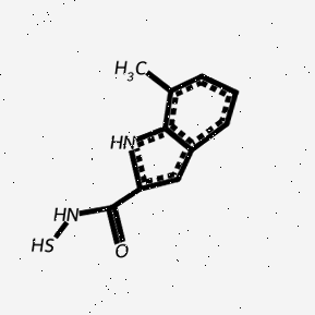 Cc1cccc2cc(C(=O)NS)[nH]c12